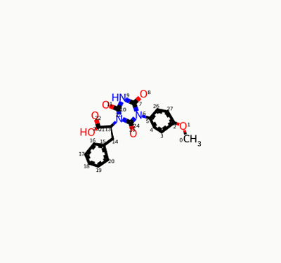 COc1ccc(-n2c(=O)[nH]c(=O)n([C@@H](Cc3ccccc3)C(=O)O)c2=O)cc1